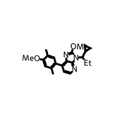 CCC(C1CC1)n1c(OC)nc2c(-c3cc(C)c(OC)cc3C)ccnc21